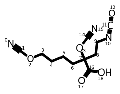 N#COCCCCC(CCN=C=O)(OC#N)C(=O)O